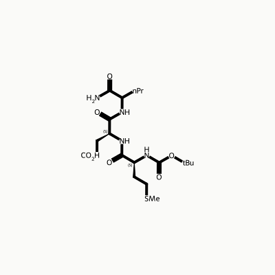 CCCC(NC(=O)[C@H](CC(=O)O)NC(=O)[C@H](CCSC)NC(=O)OC(C)(C)C)C(N)=O